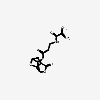 C=C(C)C(=O)NCCC(=O)OC1C2CC3C(=O)OC1C3O2